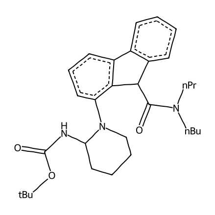 CCCCN(CCC)C(=O)C1c2ccccc2-c2cccc(N3CCCCC3NC(=O)OC(C)(C)C)c21